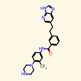 O=C(Nc1ccc(N2CCNCC2)c(C(F)(F)F)c1)c1cccc(CCc2cnc3[nH]cnc3c2)c1